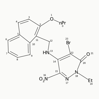 CCCOc1ccc2ccccc2c1CNc1c([N+](=O)[O-])nn(CC)c(=O)c1Br